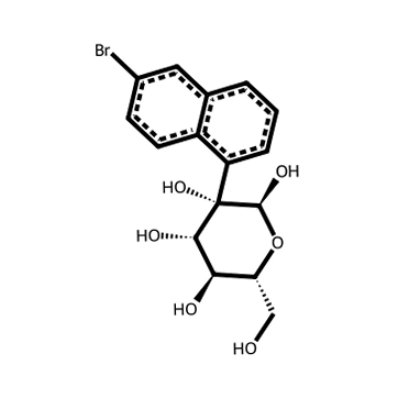 OC[C@H]1O[C@H](O)[C@](O)(c2cccc3cc(Br)ccc23)[C@@H](O)[C@@H]1O